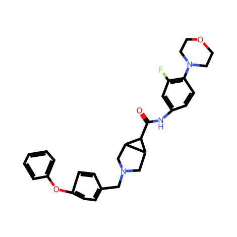 O=C(Nc1ccc(N2CCOCC2)c(F)c1)C1C2CN(Cc3ccc(Oc4ccccc4)cc3)CC21